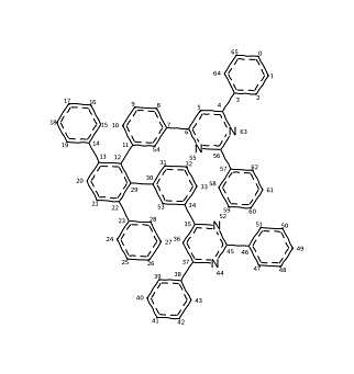 c1ccc(-c2cc(-c3cccc(-c4c(-c5ccccc5)ccc(-c5ccccc5)c4-c4cccc(-c5cc(-c6ccccc6)nc(-c6ccccc6)n5)c4)c3)nc(-c3ccccc3)n2)cc1